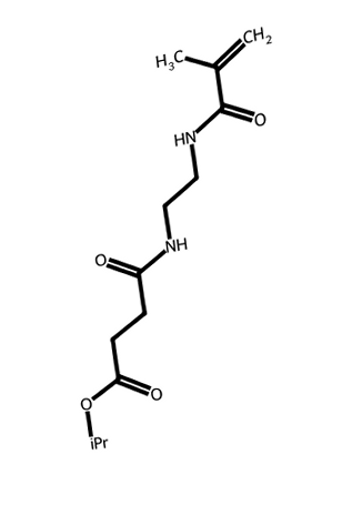 C=C(C)C(=O)NCCNC(=O)CCC(=O)OC(C)C